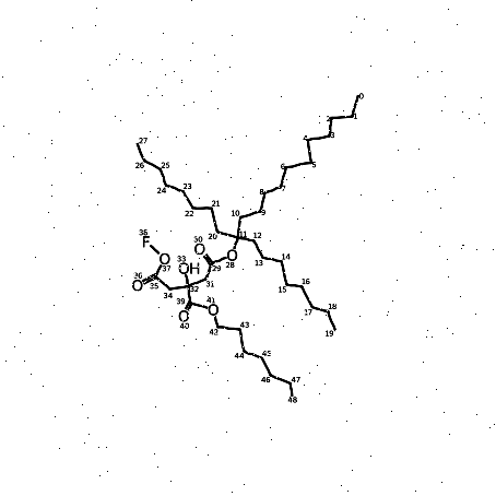 CCCCCCCCCCCC(CCCCCCCC)(CCCCCCCC)OC(=O)CC(O)(CC(=O)OF)C(=O)OCCCCCCC